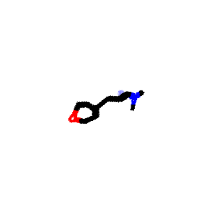 CN(C)/C=C/CC1CCOCC1